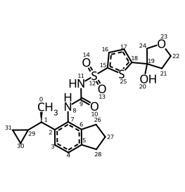 C[C@@H](c1ccc2c(c1NC(=O)NS(=O)(=O)c1ccc(C3(O)CCOC3)s1)CCC2)C1CC1